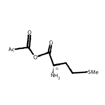 CSCC[C@H](N)C(=O)OC(=O)C(C)=O